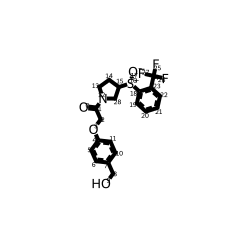 O=C(COc1ccc(CO)cc1)N1CCC([S+]([O-])c2ccccc2C(F)(F)F)C1